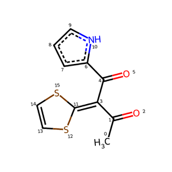 CC(=O)C(C(=O)c1ccc[nH]1)=C1SC=CS1